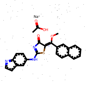 CC(=O)O.CO/C(=C1/SC(Nc2ccc3[n-]ccc3c2)=NC1=O)c1ccc2ccccc2c1.[Na+]